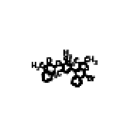 COC(=O)[C@@H](Cc1ccccc1)Oc1c(C)cc(-c2c3ccccc3c(Br)c3sc(C)c(C)c23)cc1C